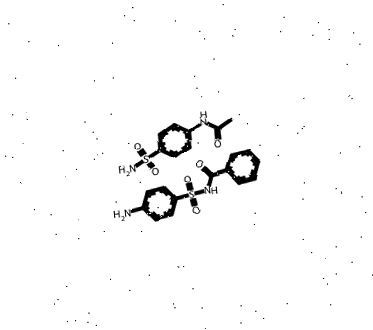 CC(=O)Nc1ccc(S(N)(=O)=O)cc1.Nc1ccc(S(=O)(=O)NC(=O)c2ccccc2)cc1